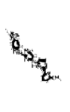 Cc1cccc(-c2nccc(Nc3ccnc(Nc4ccc(S(N)(=O)=O)cc4)n3)n2)n1